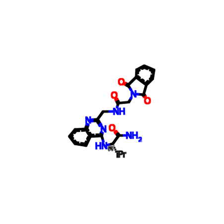 CC(C)[C@H](Nc1nc(CNC(=O)CN2C(=O)c3ccccc3C2=O)nc2ccccc12)C(N)=O